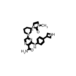 Cn1ccn([C@@H]2CCCN(c3cnc(C(N)=O)c(Nc4ccc(C5CNC5)cc4)n3)C2)c1=O